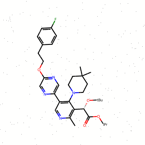 Cc1ncc(-c2cnc(OCCc3ccc(F)cc3)cn2)c(N2CCC(C)(C)CC2)c1[C@H](OC(C)(C)C)C(=O)OC(C)C